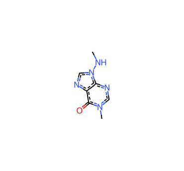 CNn1cnc2c(=O)n(C)cnc21